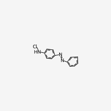 ClNc1ccc(N=Nc2ccccc2)cc1